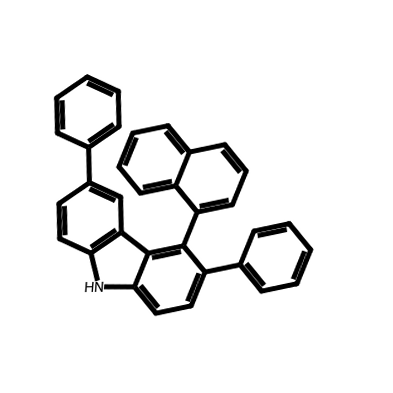 c1ccc(-c2ccc3[nH]c4ccc(-c5ccccc5)c(-c5cccc6ccccc56)c4c3c2)cc1